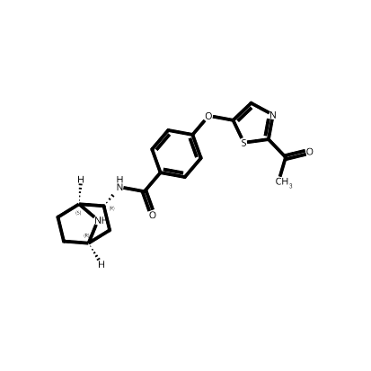 CC(=O)c1ncc(Oc2ccc(C(=O)N[C@@H]3C[C@H]4CC[C@@H]3N4)cc2)s1